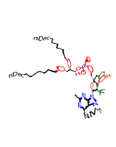 CCCCCCCCCCCCCCCCOCC(COP(=O)(O)OC[C@@]1(CCl)O[C@@H](n2cnc3c(NC)nc(C)nc32)[C@H](F)[C@@H]1O)OCCCCCCCCCCCCCCCC